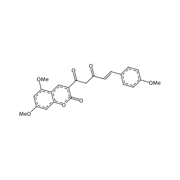 COc1ccc(/C=C/C(=O)CC(=O)c2cc3c(OC)cc(OC)cc3oc2=O)cc1